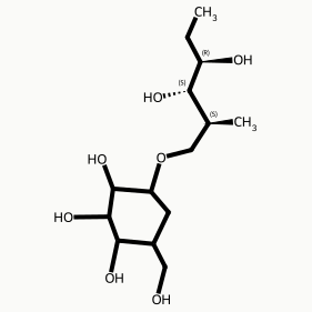 CC[C@@H](O)[C@@H](O)[C@@H](C)COC1CC(CO)C(O)C(O)C1O